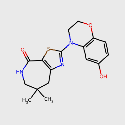 CC1(C)CNC(=O)c2sc(N3CCOc4ccc(O)cc43)nc2C1